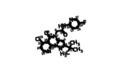 CC(C)(C)c1cc2n(CC(=O)Nc3ccc(F)cn3)c(=O)c3c(Cl)ccnc3n2n1